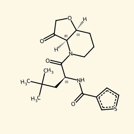 CC(C)(C)C[C@H](NC(=O)c1ccsc1)C(=O)N1CCC[C@@H]2OCC(=O)[C@@H]21